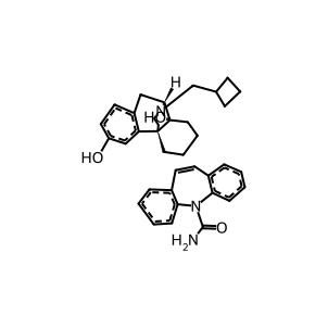 NC(=O)N1c2ccccc2C=Cc2ccccc21.Oc1ccc2c(c1)[C@@]13CCCC[C@@]1(O)[C@@H](C2)N(CC1CCC1)CC3